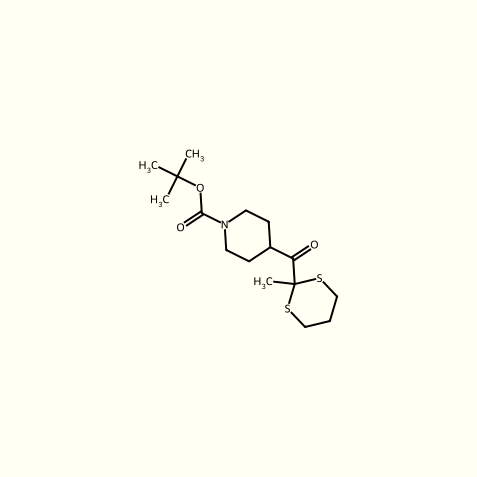 CC(C)(C)OC(=O)N1CCC(C(=O)C2(C)SCCCS2)CC1